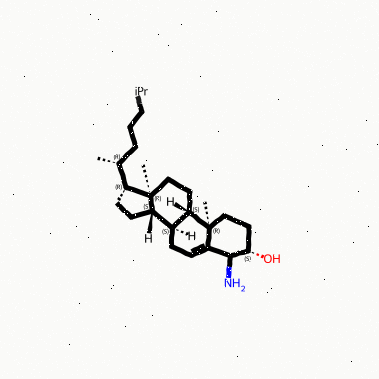 CC(C)CCC[C@@H](C)[C@H]1CC[C@H]2[C@@H]3CC=C4C(N)[C@@H](O)CC[C@]4(C)[C@H]3CC[C@]12C